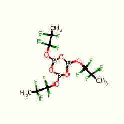 CC(F)(F)C(F)(F)OB1OB(OC(F)(F)C(C)(F)F)OB(OC(F)(F)C(C)(F)F)O1